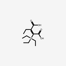 CCC(C(=O)O)=C(C(=O)O)[Si](CC)(CC)CC